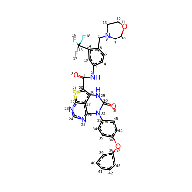 O=C(Nc1ccc(CN2CCOCC2)c(C(F)(F)F)c1)c1sc2ncnc3c2c1NC(=O)N3c1ccc(Oc2ccccc2)cc1